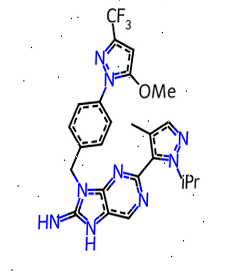 COc1cc(C(F)(F)F)nn1-c1ccc(Cn2c(=N)[nH]c3cnc(-c4c(C)cnn4C(C)C)nc32)cc1